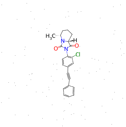 C[C@@H]1CCC[C@@H]2C(=O)N(c3ccc(C#Cc4ccccc4)cc3Cl)C(=O)N12